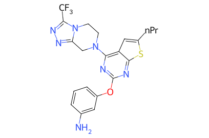 CCCc1cc2c(N3CCn4c(nnc4C(F)(F)F)C3)nc(Oc3cccc(N)c3)nc2s1